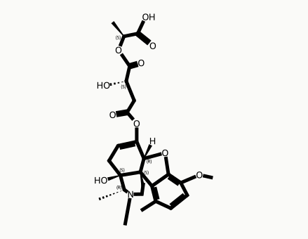 COc1ccc(C)c2c1O[C@H]1C(OC(=O)C[C@H](O)C(=O)O[C@@H](C)C(=O)O)=CC[C@@]3(O)[C@@H](C)N(C)CC[C@]213